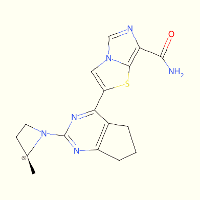 C[C@H]1CCN1c1nc2c(c(-c3cn4cnc(C(N)=O)c4s3)n1)CCC2